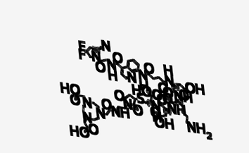 N#C[C@@H]1CC(F)(F)CN1C(=O)CNC(=O)c1ccnc2c(NC(=O)CCC(=O)N[C@@H](CC(=O)O)C(=O)N[C@@H](CCCCN)C(=O)N[C@@H](CC(=O)O)C(=O)N[C@@H](CSC3CC(=O)N(CCNC(=O)CN4CCN(CC(=O)O)CCN(CC(=O)O)CC4)C3=O)C(=O)O)cccc12